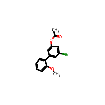 COc1ccccc1-c1cc(Br)cc(OC(C)=O)c1